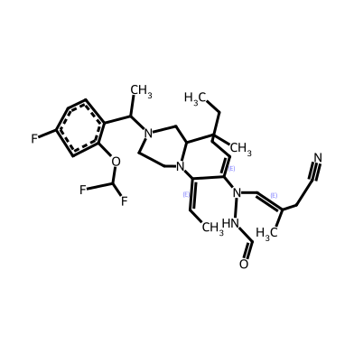 C/C=C(\C(=C/CCC)N(/C=C(\C)CC#N)NC=O)N1CCN(C(C)c2ccc(F)cc2OC(F)F)CC1CC